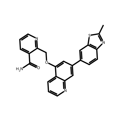 Cc1nc2ccc(-c3cc(OCc4ncccc4C(N)=O)c4cccnc4c3)cc2s1